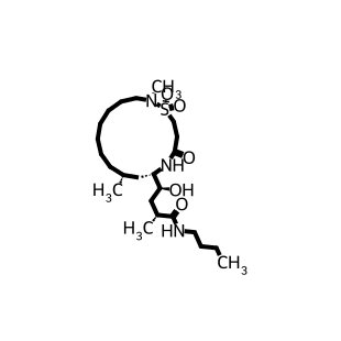 CCCCNC(=O)[C@H](C)C[C@H](O)[C@@H]1C[C@H](C)CCCCCCCN(C)S(=O)(=O)CCC(=O)N1